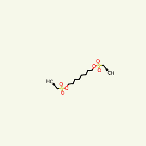 C#CCS(=O)(=O)OCCCCCCCCOS(=O)(=O)CC#C